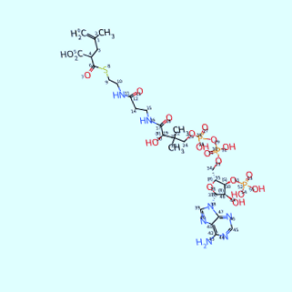 C=C(C)CC(C(=O)O)C(=O)SCCNC(=O)CCNC(=O)[C@H](O)C(C)(C)COP(=O)(O)OP(=O)(O)OC[C@H]1O[C@@H](n2cnc3c(N)ncnc32)[C@H](O)[C@@H]1OP(=O)(O)O